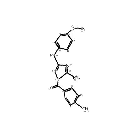 Cc1ccc(C(=O)n2nc(Nc3ccc(OC(C)C)cc3)nc2N)cc1